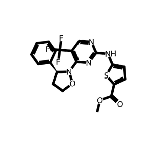 COC(=O)c1ccc(Nc2ncc(C(F)(F)F)c(N3OCC[C@H]3c3ccccc3)n2)s1